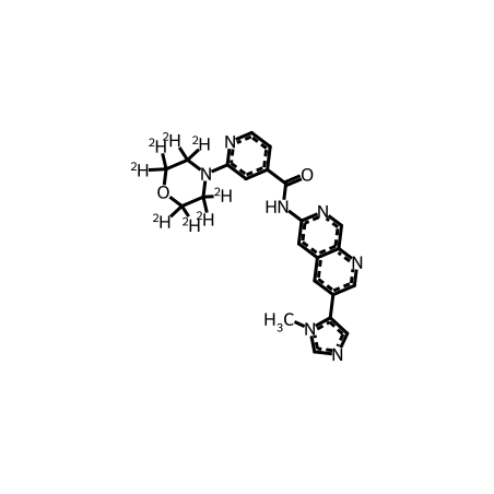 [2H]C1([2H])OC([2H])([2H])C([2H])([2H])N(c2cc(C(=O)Nc3cc4cc(-c5cncn5C)cnc4cn3)ccn2)C1([2H])[2H]